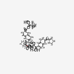 NC1CC2CCC(C1)N2C(=O)[C@H](NC(=O)[C@@H](O)c1ccc2cc(OC3CCCC3)ccc2c1)C(F)(F)c1ccc2cc(Br)ccc2c1.O=C(O)C(F)(F)F